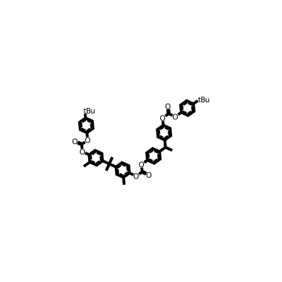 Cc1cc(C(C)(C)c2ccc(OC(=O)Oc3ccc(C(C)(C)C)cc3)c(C)c2)ccc1OC(=O)Oc1ccc(C(C)c2ccc(OC(=O)Oc3ccc(C(C)(C)C)cc3)cc2)cc1